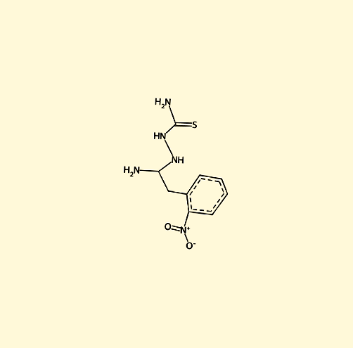 NC(=S)NNC(N)Cc1ccccc1[N+](=O)[O-]